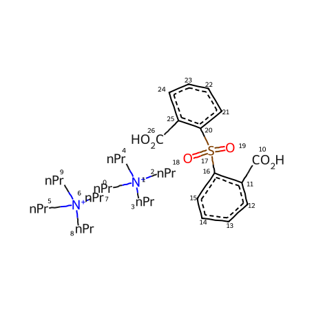 CCC[N+](CCC)(CCC)CCC.CCC[N+](CCC)(CCC)CCC.O=C(O)c1ccccc1S(=O)(=O)c1ccccc1C(=O)O